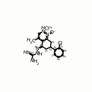 Cc1cn[n+]([O-])c2c1C(=NNC(=N)N)CC(c1ccccc1Cl)C2.Cl